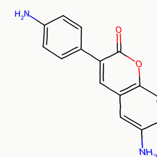 Nc1ccc(-c2cc3cc(N)ccc3oc2=O)cc1